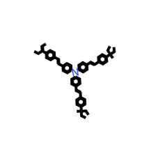 C/C=C(/CC)c1ccc(/C=C/c2ccc(N(c3ccc(/C=C/c4ccc(C(C)(CC)CC)cc4)cc3)c3ccc(/C=C/c4ccc(C(C)(CC)CC)cc4)cc3)cc2)cc1